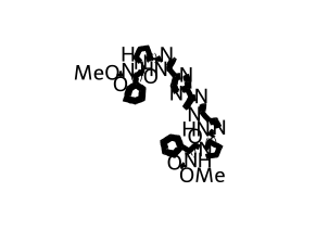 COC(=O)N[C@@H](C(=O)N1CCC[C@H]1c1ncc(-c2cnc(-c3cnc(-c4cnc([C@@H]5CCCN5C(=O)[C@H](NC(=O)OC)c5ccccc5)[nH]4)cn3)cn2)[nH]1)c1ccccc1